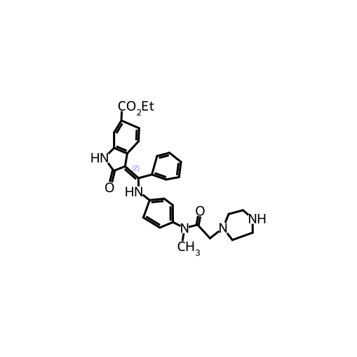 CCOC(=O)c1ccc2c(c1)NC(=O)/C2=C(\Nc1ccc(N(C)C(=O)CN2CCNCC2)cc1)c1ccccc1